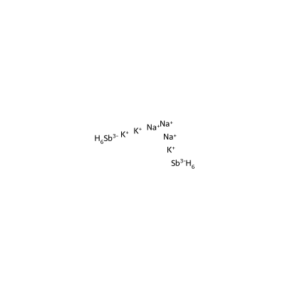 [K+].[K+].[K+].[Na+].[Na+].[Na+].[SbH6-3].[SbH6-3]